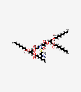 CCCCCCCCC(=O)OCC(COC(=O)CCCCCC)COC(=O)CCN(CCC(=O)OCC(COC(=O)CCCCCCCC)COC(=O)CCCCCCCC)C(=O)SCCCN(C)C